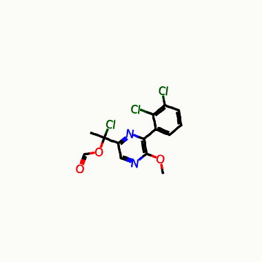 COc1ncc(C(C)(Cl)OC=O)nc1-c1cccc(Cl)c1Cl